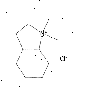 C[N+]1(C)CCC2CCCCC21.[Cl-]